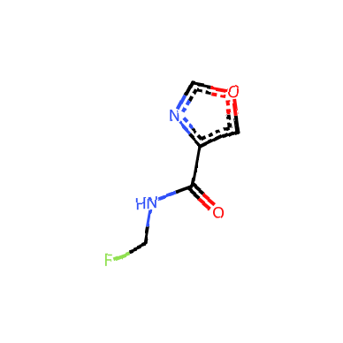 O=C(NCF)c1cocn1